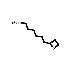 CC[CH]CCCCCCCCC1CCO1